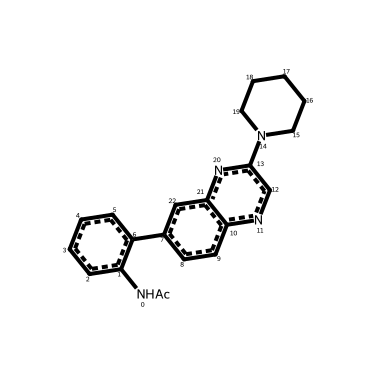 CC(=O)Nc1ccccc1-c1ccc2ncc(N3CCCCC3)nc2c1